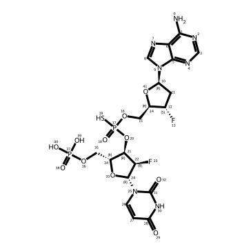 Nc1ncnc2c1ncn2[C@H]1C[C@H](F)[C@@H](COP(=O)(S)O[C@H]2[C@@H](F)[C@H](n3ccc(=O)[nH]c3=O)O[C@@H]2COP(=O)(O)O)O1